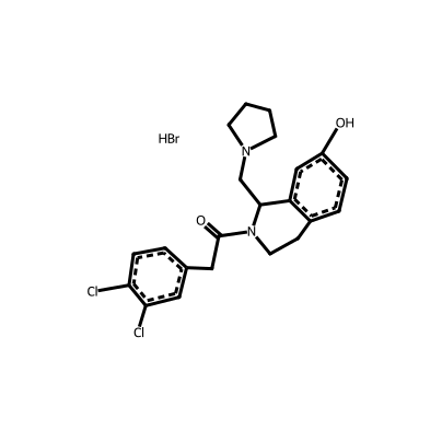 Br.O=C(Cc1ccc(Cl)c(Cl)c1)N1CCc2ccc(O)cc2C1CN1CCCC1